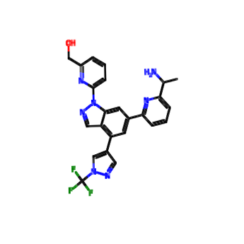 CC(N)c1cccc(-c2cc(-c3cnn(C(F)(F)F)c3)c3cnn(-c4cccc(CO)n4)c3c2)n1